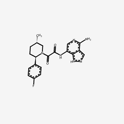 C[C@H]1CC[C@H](c2ccc(F)cc2)N(C(=O)C(=O)Nc2cnc(N)c3cn[nH]c23)C1